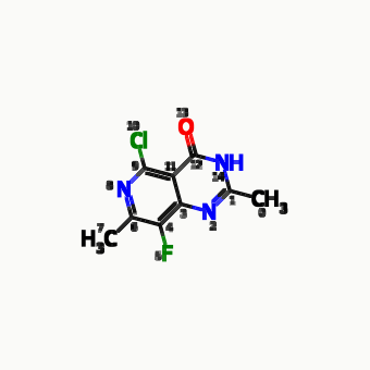 Cc1nc2c(F)c(C)nc(Cl)c2c(=O)[nH]1